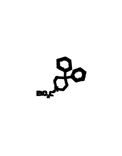 CCOC(=O)N1CCC(c2ccccc2)(c2ccccc2)CC1